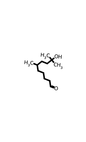 CC(CCCCC=O)CCC(C)(C)O